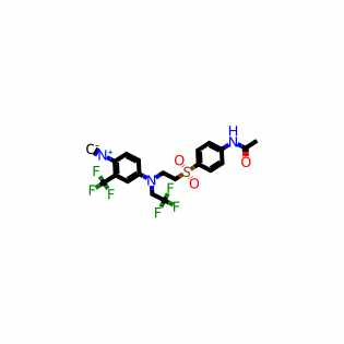 [C-]#[N+]c1ccc(N(CCS(=O)(=O)c2ccc(NC(C)=O)cc2)CC(F)(F)F)cc1C(F)(F)F